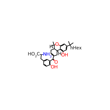 CCCCCCC(C)(C)c1cc(O)c2c(c1)OC(C)(C)[C@@H]1CC=C(C(=O)c3cc(CC(N)C(=O)O)ccc3O)C[C@@H]21